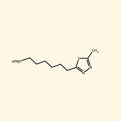 CCCCCCCCCCCCCc1nnc(C)s1